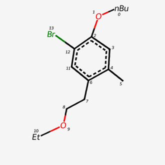 CCCCOc1cc(C)c(CCOCC)cc1Br